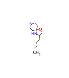 CCCCCC1COC2(CCNCC2)N1